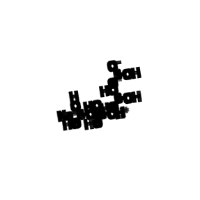 OB(O)O.OB(O)O.OB(O)O.[Li+].[Na+].[O-]B([O-])O